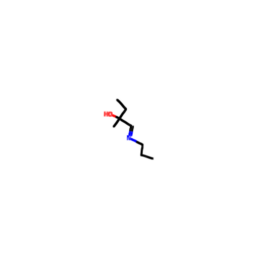 CCCN=CC(C)(O)CC